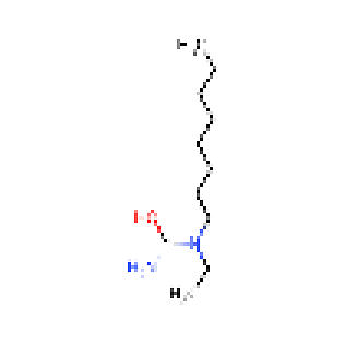 CCCCCCCCN(CC)[C@H](N)O